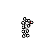 CC1(c2cccc3c2oc2c(N(c4ccc(-c5ccccc5)cc4)c4ccc5c(c4)C4(c6ccccc6-c6ccccc64)c4ccccc4-5)cccc23)c2ccccc2-c2ccccc21